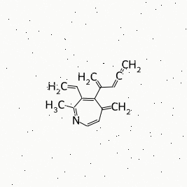 C=C=CC(=C)C1=C(C=C)C(C)=NC=CC1=C